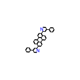 c1ccc(-c2ccnc(-c3ccc4c5cccc6c(-c7cc(-c8ccccc8)ccn7)ccc(c7cccc3c74)c65)c2)cc1